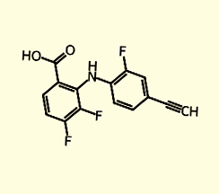 C#Cc1ccc(Nc2c(C(=O)O)ccc(F)c2F)c(F)c1